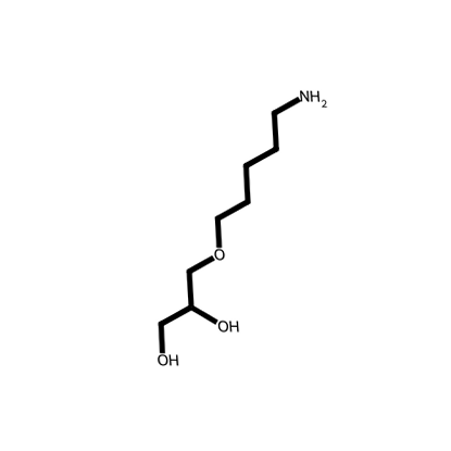 NCCCCCOCC(O)CO